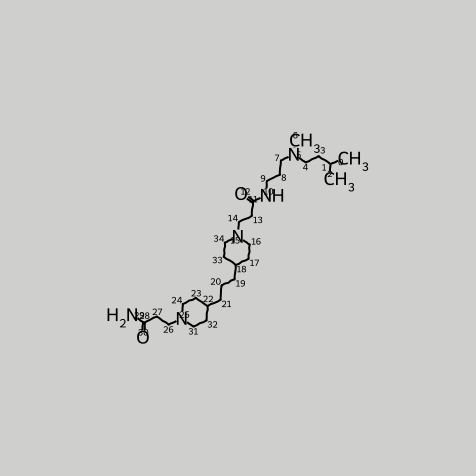 CC(C)CCN(C)CCCNC(=O)CCN1CCC(CCCC2CCN(CCC(N)=O)CC2)CC1